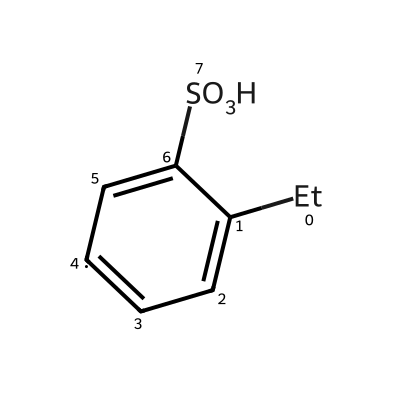 CCc1cc[c]cc1S(=O)(=O)O